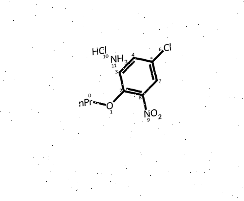 CCCOc1ccc(Cl)cc1[N+](=O)[O-].Cl.N